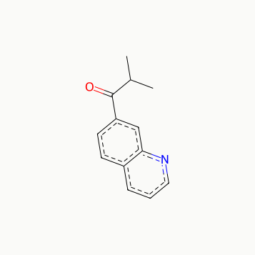 CC(C)C(=O)c1ccc2cccnc2c1